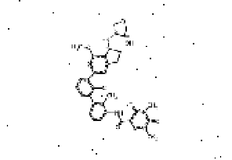 COc1nc(-c2cccc(-c3cccc(NC(=O)c4nn(C)c(=O)n(C)c4=O)c3C)c2Cl)cc2c1[C@@H](N[C@@H]1COC[C@@H]1O)CC2